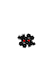 CC(C)(C)c1cc(C(C)(C)C)c(-c2cc3c4c(cc5c(-c6c(C(C)(C)C)cc(C(C)(C)C)cc6C(C)(C)C)cc6c7c(cc2c4c57)B2c4ccccc4-c4cccc-6c42)B2c4ccccc4-c4cccc-3c42)c(C(C)(C)C)c1